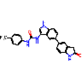 O=C1Cc2cc(-c3ccc4[nH]cc(NC(=O)Nc5ccc(C(F)(F)F)cc5)c4c3)ccc2N1